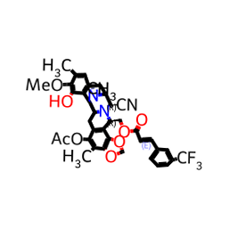 COc1c(C)cc2c(c1O)C1C3Cc4c(OC(C)=O)c(C)c5c(c4[C@H](COC(=O)/C=C/c4cccc(C(F)(F)F)c4)N3[C@@H](C#N)C(C2)N1C)OCO5